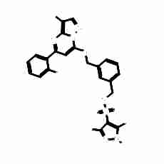 Cc1nn(C)c(Cl)c1S(=O)(=O)NCc1cccc(CNc2cc(-c3ccccc3Cl)nc3c(Br)cnn23)c1